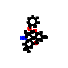 CC1=C(C(=O)OC2CCCCCC2)C(c2ccc(C)cc2)C2=C(CC(C)(C)CC2=O)N1